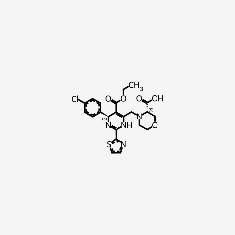 CCOC(=O)C1=C(CN2CCOC[C@H]2C(=O)O)NC(c2nccs2)=N[C@H]1c1ccc(Cl)cc1